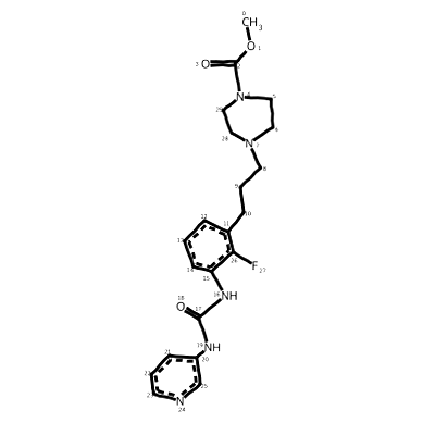 COC(=O)N1CCN(CCCc2cccc(NC(=O)Nc3cccnc3)c2F)CC1